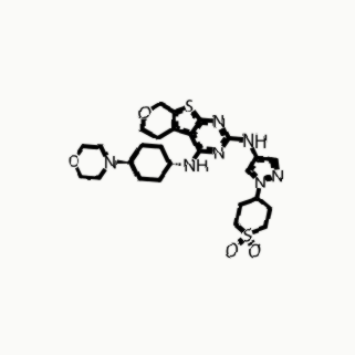 O=S1(=O)CCC(n2cc(Nc3nc(N[C@H]4CC[C@H](N5CCOCC5)CC4)c4c5c(sc4n3)COCC5)cn2)CC1